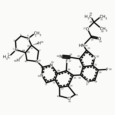 CN1CCN(C)[C@H]2CN(c3ncc4c5c(c(-c6ncc(F)c7sc(NC(=O)OC(C)(C)C)c(C#N)c67)c(F)c4n3)COC5)C[C@H]21